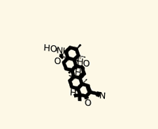 C[C@@H]1[C@H]2[C@H]3C(=O)C=C4[C@@]5(C)C=C(C#N)C(=O)C(C)(C)[C@@H]5CC[C@@]4(C)[C@]3(C)CC[C@@]2(C(=O)NO)CC[C@H]1C